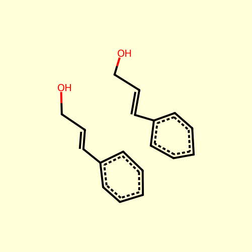 OCC=Cc1ccccc1.OCC=Cc1ccccc1